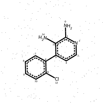 Nc1nccc(-c2ccccc2Cl)c1N